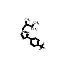 CC(C)C(C)Cn1ccc(-c2ccc(C(F)(F)F)cc2)n1